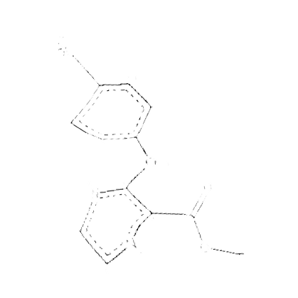 COC(=O)c1nccnc1Oc1ccc(Br)cc1